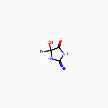 CCC1(O)NC(=N)NC1=O